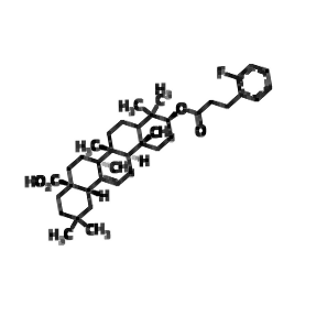 CC1(C)CC[C@]2(C(=O)O)CC[C@]3(C)C(=CC[C@@H]4[C@@]5(C)CC[C@H](OC(=O)CCc6ccccc6F)C(C)(C)C5CC[C@]43C)[C@@H]2C1